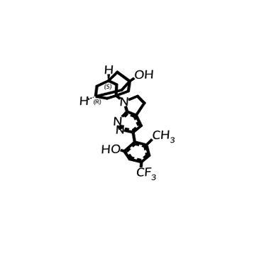 Cc1cc(C(F)(F)F)cc(O)c1-c1cc2c(nn1)N(C13C[C@@H]4C[C@@H](CC(O)(C4)C1)C3)CC2